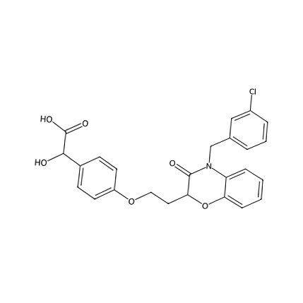 O=C(O)C(O)c1ccc(OCCC2Oc3ccccc3N(Cc3cccc(Cl)c3)C2=O)cc1